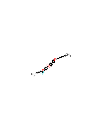 CCCCCCCCCCOc1ccc(-c2ccc(OC(=O)c3ccc(COC(CCCCCC)C(F)(F)F)cc3)cc2)cc1